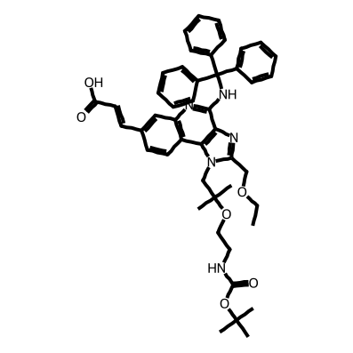 CCOCc1nc2c(NC(c3ccccc3)(c3ccccc3)c3ccccc3)nc3cc(C=CC(=O)O)ccc3c2n1CC(C)(C)OCCNC(=O)OC(C)(C)C